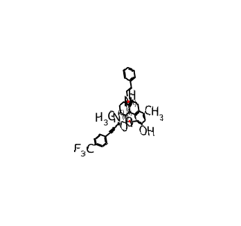 Cc1cc(O)c2c3c1C[C@@H]1[C@@H]4CC[C@H](N(C)C(=O)C#Cc5ccc(C(F)(F)F)cc5)[C@H](O2)[C@]34CCN1CCc1ccccc1